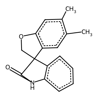 Cc1cc2c(cc1C)C1(CO2)C(=O)Nc2ccccc21